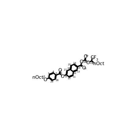 CCCCCCCCOc1ccc(C(=O)Oc2ccc3cc(C(=O)OC(=O)OC(CCCCCCCC)C(F)(F)F)ccc3c2)cc1